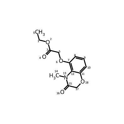 CCOC(=O)COc1cccc2c1N(C)C(=O)CO2